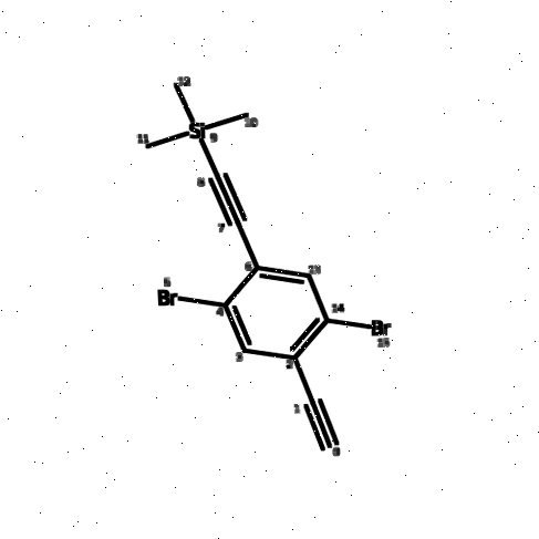 C#Cc1cc(Br)c(C#C[Si](C)(C)C)cc1Br